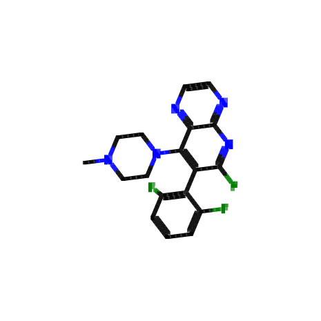 CN1CCN(c2c(-c3c(F)cccc3F)c(F)nc3nccnc23)CC1